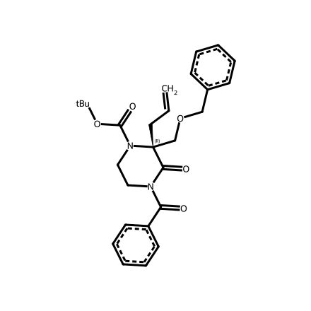 C=CC[C@@]1(COCc2ccccc2)C(=O)N(C(=O)c2ccccc2)CCN1C(=O)OC(C)(C)C